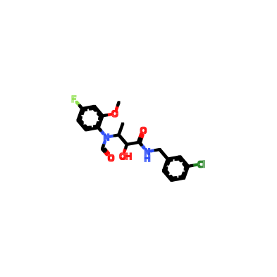 COc1cc(F)ccc1N(C=O)C(C)C(O)C(=O)NCc1cccc(Cl)c1